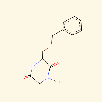 CN1CC(=O)NC(COCc2ccccc2)C1=O